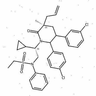 C=CC[C@@]1(C)CC(c2cccc(Cl)c2)C(c2ccc(Cl)cc2)N([C@H](CN(c2ccccc2)S(=O)(=O)CC)C2CC2)C1=O